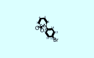 O=S1(=O)C=CC=CN1c1ccc(Br)cc1